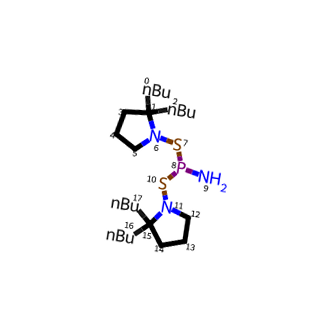 CCCCC1(CCCC)CCCN1SP(N)SN1CCCC1(CCCC)CCCC